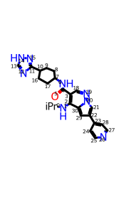 CC(C)Nc1c(C(=O)NC2CCC(c3nc[nH]n3)CC2)cnn2cc(-c3ccncc3)cc12